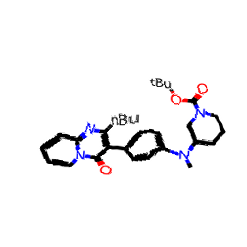 CCCCc1nc2ccccn2c(=O)c1-c1ccc(N(C)C2CCCN(C(=O)OC(C)(C)C)C2)cc1